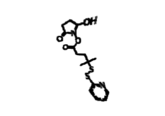 CC(C)(CCC(=O)ON1C(=O)CCC1O)SSc1ccccn1